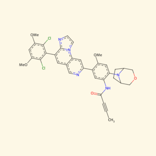 CC#CC(=O)Nc1cc(-c2cc3c(cn2)cc(-c2c(Cl)c(OC)cc(OC)c2Cl)c2nccn23)c(OC)cc1N1C2CCC1COC2